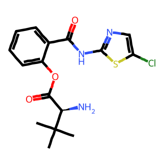 CC(C)(C)[C@H](N)C(=O)Oc1ccccc1C(=O)Nc1ncc(Cl)s1